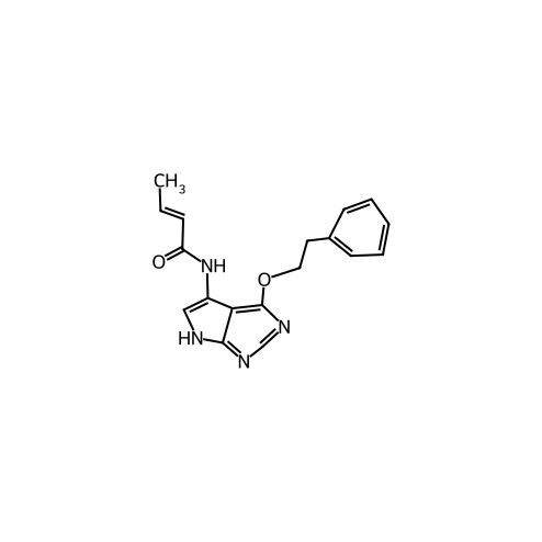 CC=CC(=O)Nc1c[nH]c2ncnc(OCCc3ccccc3)c12